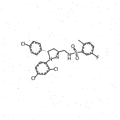 Cc1ccc(F)cc1S(=O)(=O)NCC1=NN(c2ccc(Cl)cc2Cl)[C@H](c2ccc(Cl)cc2)C1